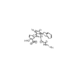 NC(=O)[C@H](NC(=O)[C@@H](Cc1ccc(O)c([N+](=O)[O-])c1)NC(=O)C1O[C@@H]1C(=O)NCCO)C1Cc2ccccc2C1